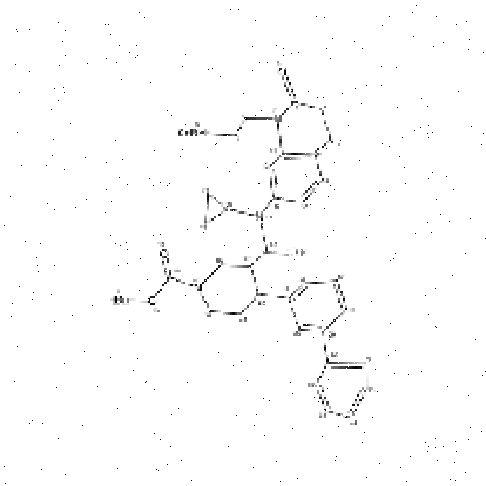 CC(=O)NCCN1C(=O)CSc2ccc(N(C(=O)C3CN(C(=O)OC(C)(C)C)CCC3c3cccc(-c4ccccc4)c3)C3CC3)cc21